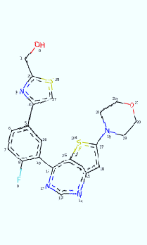 OCc1nc(-c2ccc(F)c(-c3ncnc4cc(N5CCOCC5)sc34)c2)cs1